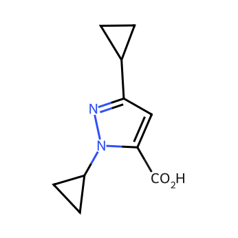 O=C(O)c1cc(C2CC2)nn1C1CC1